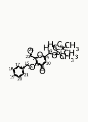 CC(C)(C)[Si](C)(C)OCc1cc(=O)c(OCc2ccccc2)c(C=O)o1